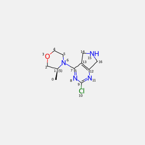 C[C@H]1COCCN1c1nc(Cl)nc2c1CNC2